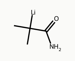 [Li][C](C)(C)C(N)=O